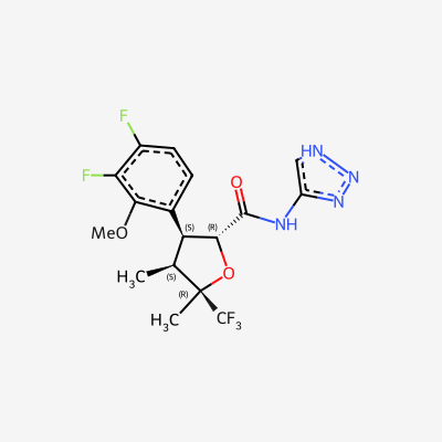 COc1c([C@H]2[C@H](C(=O)Nc3c[nH]nn3)O[C@@](C)(C(F)(F)F)[C@H]2C)ccc(F)c1F